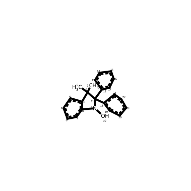 CC1(C)c2ccccc2N(O)C1(c1ccccc1)c1ccccc1